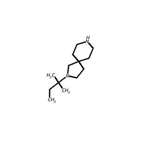 CCC(C)(C)N1CCC2(CCNCC2)C1